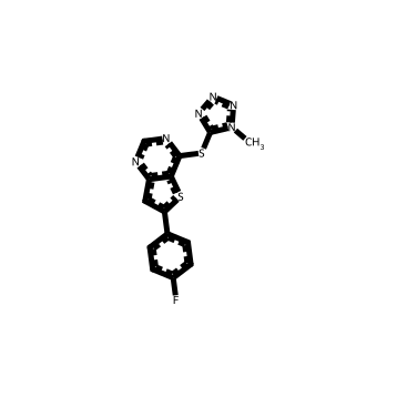 Cn1nnnc1Sc1ncnc2cc(-c3ccc(F)cc3)sc12